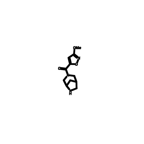 COc1cc(C(=O)N2CC3CNC(C3)C2)on1